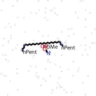 CCCCC/C=C\C/C=C\CCCCCCCCC(CCCCCCCC/C=C\C=C\CCCCC)OP(OCCN(C)C)OOC